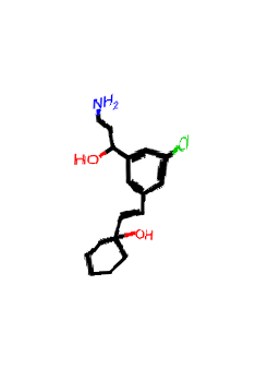 NCCC(O)c1cc(Cl)cc(/C=C/C2(O)CCCCC2)c1